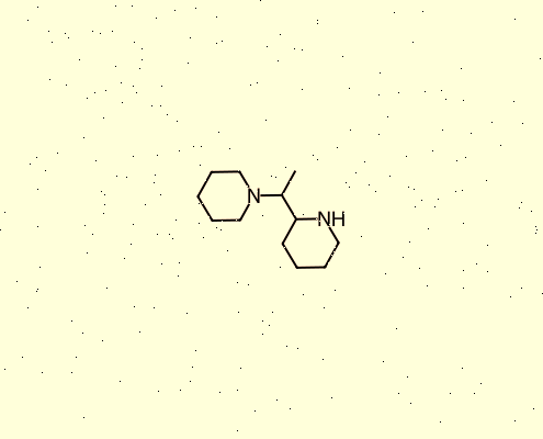 CC(C1CCCCN1)N1CCCCC1